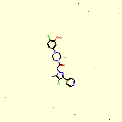 COc1cc(N2CCN(C(=O)Cn3nc(-c4ccncc4)c(Cl)c3C)[C@@H](C)C2)ccc1Cl